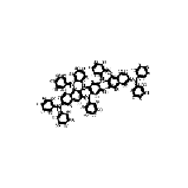 c1ccc(N(c2ccccc2)c2ccc3c4c5c(cc3c2)Sc2cc3c(cc2B5c2ccccc2S4)B2c4ccccc4N(c4ccccc4)c4c2c(cc2cc(N(c5ccccc5)c5ccccc5)ccc42)N3c2ccccc2)cc1